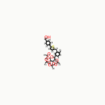 CC(=O)O[C@H]1OC(c2ccc(C)c(Cc3ccc(-c4ccc(CO)cc4)s3)c2)[C@H](OC(C)=O)[C@@H](OC(C)=O)[C@@H]1OC(C)=O